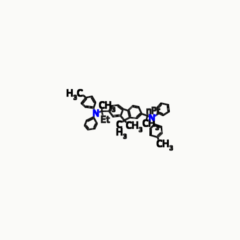 CCCC(C)(c1ccc2c(c1)C(C)(C)c1cc(C(C)(CC)N(c3ccccc3)c3ccc(C)cc3)ccc1-2)N(c1ccccc1)c1ccc(C)cc1